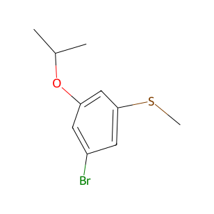 CSc1cc(Br)cc(OC(C)C)c1